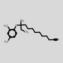 CCC(C)(CCCCCCCCC#N)Oc1ccc(C)cc1C